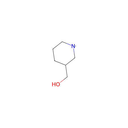 OCC1CCC[N]C1